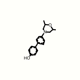 CC1CN(c2ccc(-c3ccc(O)cc3)cc2)CC(C)O1